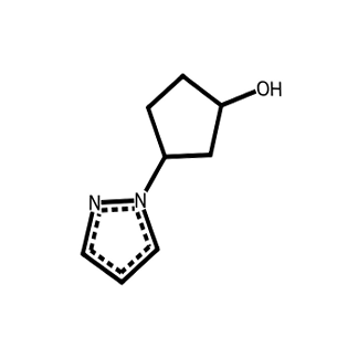 OC1CCC(n2cccn2)C1